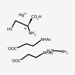 CC(=O)NCCC(=O)[O-].CC(=O)NCCC(=O)[O-].NN.N[C@@H](CS)C(=O)O.[Hg+2]